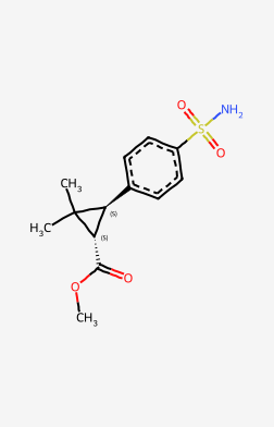 COC(=O)[C@H]1[C@H](c2ccc(S(N)(=O)=O)cc2)C1(C)C